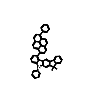 CC1(C)c2ccccc2-c2cc3c4c(-c5ccc6ccc7c(-c8ccccc8)ccc8ccc5c6c87)cccc4n(-c4ccccc4)c3cc21